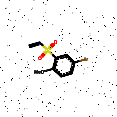 C=CS(=O)(=O)c1cc(Br)ccc1OC